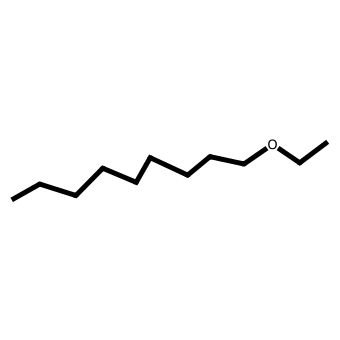 CCCCCCCCCOCC